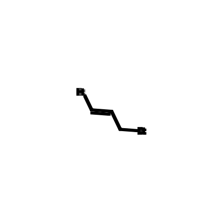 [CH2]CCC=CCC